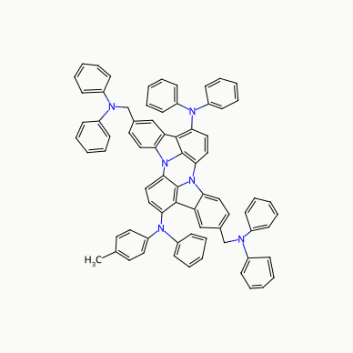 Cc1ccc(N(c2ccccc2)c2ccc3c4c2c2cc(CN(c5ccccc5)c5ccccc5)ccc2n4c2ccc(N(c4ccccc4)c4ccccc4)c4c5cc(CN(c6ccccc6)c6ccccc6)ccc5n3c42)cc1